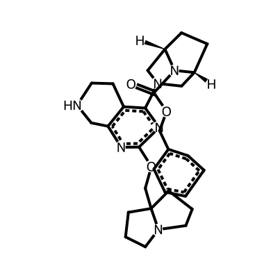 O=C(OCc1ccccc1)N1[C@@H]2CC[C@H]1CN(c1nc(OCC34CCCN3CCC4)nc3c1CCNC3)C2